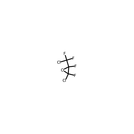 FC(F)(Cl)C1(F)OC1(F)Cl